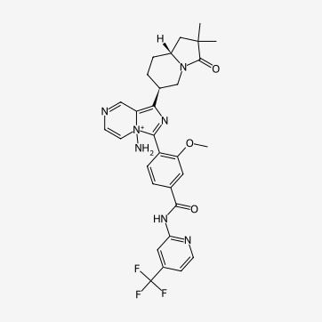 COc1cc(C(=O)Nc2cc(C(F)(F)F)ccn2)ccc1C1=NC([C@H]2CC[C@@H]3CC(C)(C)C(=O)N3C2)=C2C=NC=C[N+]12N